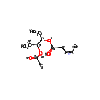 CC/C=C\CC(=O)OC(C(=O)O)C(OC(=O)CC)C(=O)O